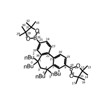 CCCCC1(CCCC)CC(CCCC)(CCCC)c2cc(B3OC(C)(C)C(C)(C)O3)ccc2-c2ccc(B3OC(C)(C)C(C)(C)O3)cc21